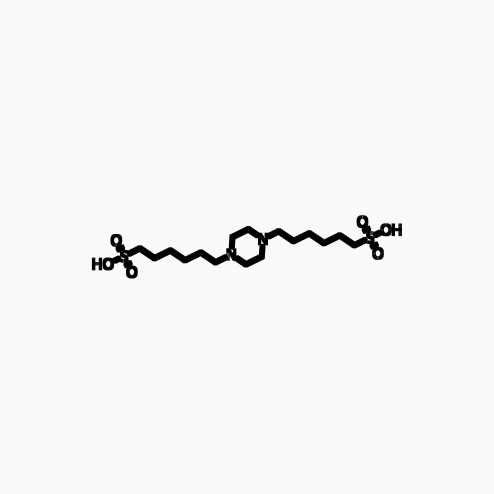 O=S(=O)(O)CCCCCCN1CCN(CCCCCCS(=O)(=O)O)CC1